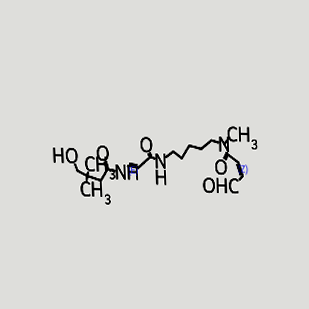 CN(CCCCCNC(=O)/C=C/NC(=O)CC(C)(C)CO)C(=O)/C=C\C=O